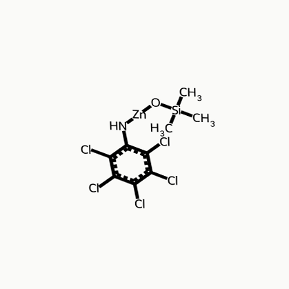 C[Si](C)(C)[O][Zn][NH]c1c(Cl)c(Cl)c(Cl)c(Cl)c1Cl